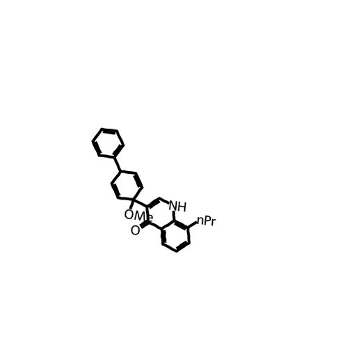 CCCc1cccc2c(=O)c(C3(OC)C=CC(c4ccccc4)C=C3)c[nH]c12